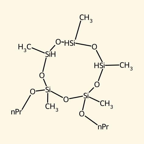 CCCO[Si]1(C)O[SiH](C)O[SiH](C)O[SiH](C)O[Si](C)(OCCC)O1